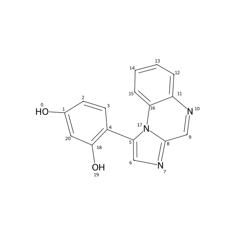 Oc1ccc(-c2cnc3cnc4ccccc4n23)c(O)c1